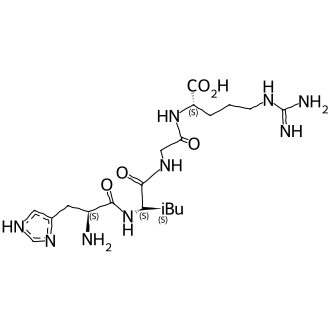 CC[C@H](C)[C@H](NC(=O)[C@@H](N)Cc1c[nH]cn1)C(=O)NCC(=O)N[C@@H](CCCNC(=N)N)C(=O)O